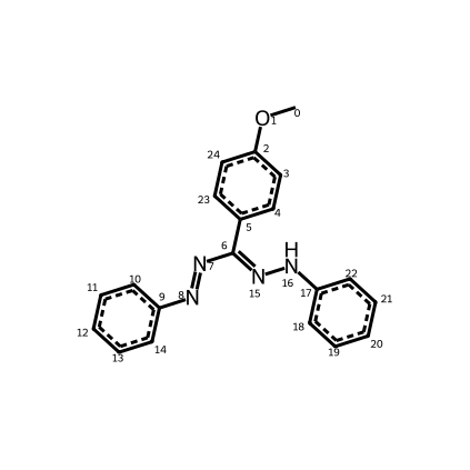 COc1ccc(C(/N=N/c2ccccc2)=N\Nc2ccccc2)cc1